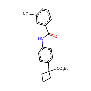 CCOC(=O)C1(c2ccc(NC(=O)c3cccc(C#N)c3)cc2)CCC1